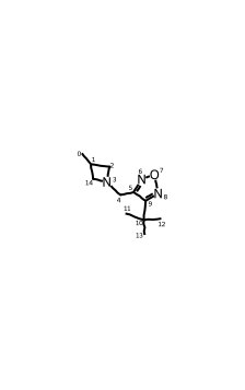 CC1CN(Cc2nonc2C(C)(C)C)C1